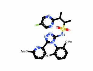 COc1cccc(-c2nnc(NS(=O)(=O)C(C)C(C)c3ncc(F)cn3)n2-c2c(OC)cccc2OC)n1